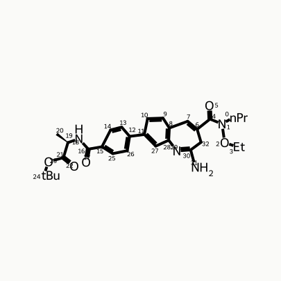 CCCN(OCC)C(=O)C1=Cc2ccc(-c3ccc(C(=O)N[C@H](C)C(=O)OC(C)(C)C)cc3)cc2N=C(N)C1